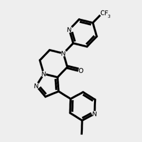 Cc1cc(-c2cnn3c2C(=O)N(c2ccc(C(F)(F)F)cn2)CC3)ccn1